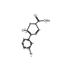 COC(=O)C1C=CC(c2cccc(Br)c2)=C(Cl)C1